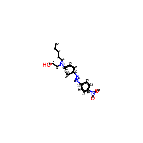 CCCCCN(CCO)c1ccc(N=Nc2ccc([N+](=O)[O-])cc2)cc1